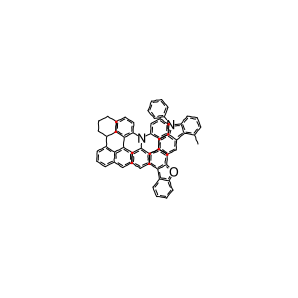 Cc1cccc2c1c1ccc(-c3ccccc3N(c3ccccc3-c3ccc4c(c3)oc3ccccc34)c3ccccc3-c3cccc4cccc(C5CCCCC5)c34)cc1n2-c1ccccc1